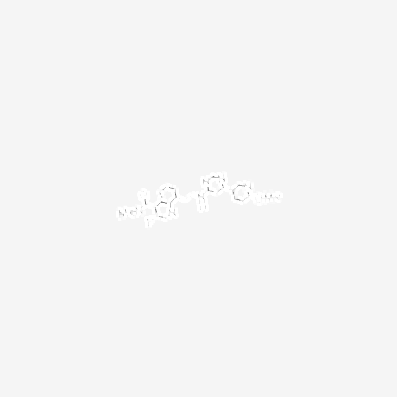 CNC(=O)c1c(F)cnc2c(CCNc3cc(-c4ccc(OC)nc4)ncn3)cccc12